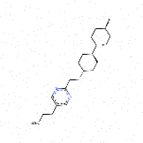 CCCCCCCCCCCCc1cnc(CC[C@H]2CC[C@H]([C@H]3CC[C@H](CC)CC3)CC2)nc1